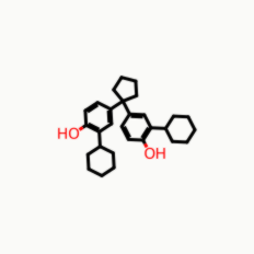 Oc1ccc(C2(c3ccc(O)c(C4CCCCC4)c3)CCCC2)cc1C1CCCCC1